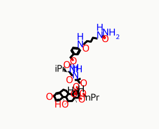 CCCC1O[C@@H]2CC3[C@@H]4CCC5=CC(=O)C=C[C@]5(C)C4[C@@H](O)C[C@]3(C)[C@]2(C(=O)COC(=O)C(C)(C)NC(=O)[C@H](CC(C)C)NC(=O)OCc2ccc(NC(=O)CCCCNC(N)=O)cc2)O1